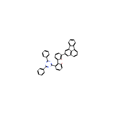 c1ccc(-c2nc(-c3ccccc3)nc(-c3cccc4oc5c(-c6cc7c8c(cccc8c6)-c6ccccc6-7)cccc5c34)n2)cc1